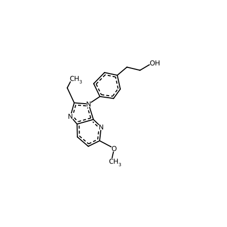 CCc1nc2ccc(OC)nc2n1-c1ccc(CCO)cc1